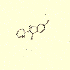 Fc1ccc2c(=S)n(-c3ccccn3)[se]c2c1